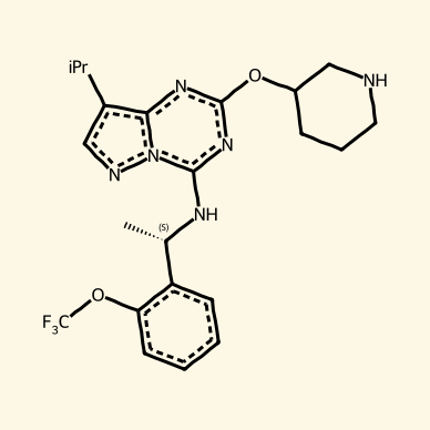 CC(C)c1cnn2c(N[C@@H](C)c3ccccc3OC(F)(F)F)nc(OC3CCCNC3)nc12